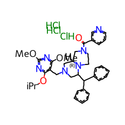 COc1nc(OC)c(CN2CC(C(c3ccccc3)c3ccccc3)N3CCN(C(=O)c4cccnc4)C[C@H]3C2)c(OC(C)C)n1.Cl.Cl.Cl